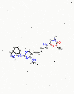 CCCNc1nc(Nc2cccc3cnn(C)c23)ncc1C#CCCCNC(=O)CN(C)C(=O)OC(C)(C)C